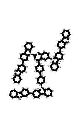 c1ccc2c(c1)sc1cc(-c3ccc4c5ccccc5n(-c5ccc(-c6ccc(-c7nc(-n8c9ccccc9c9ccc(-c%10ccc%11c(c%10)sc%10ccccc%10%11)cc98)nc8ccc(-n9c%10ccccc%10c%10ccc(-c%11ccc%12c(c%11)sc%11ccccc%11%12)cc%109)cc78)cc6)cc5)c4c3)ccc12